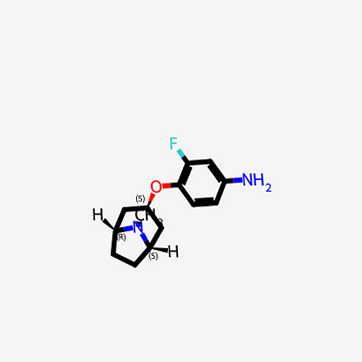 CN1[C@@H]2CC[C@H]1C[C@H](Oc1ccc(N)cc1F)C2